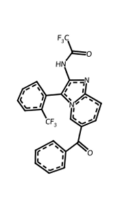 O=C(c1ccccc1)c1ccc2nc(NC(=O)C(F)(F)F)c(-c3ccccc3C(F)(F)F)n2c1